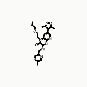 CCCOCCn1c(=O)c(NCc2cnc(C)cn2)nc2ncc(-c3c(C)noc3C)cc21